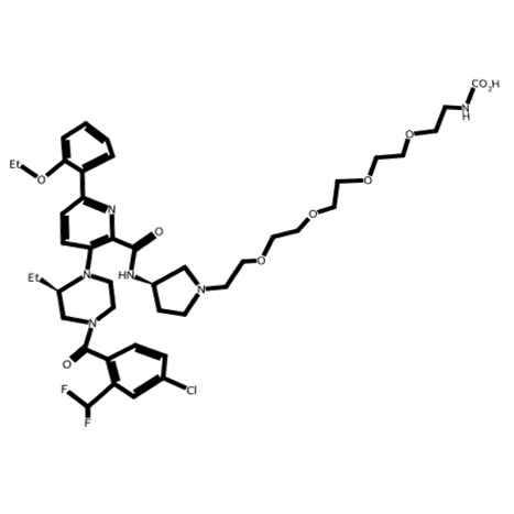 CCOc1ccccc1-c1ccc(N2CCN(C(=O)c3ccc(Cl)cc3C(F)F)C[C@H]2CC)c(C(=O)N[C@@H]2CCN(CCOCCOCCOCCOCCNC(=O)O)C2)n1